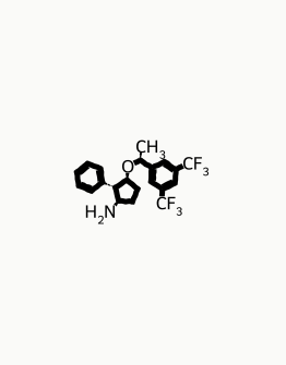 C[C@@H](O[C@H]1CC[C@@H](N)[C@@H]1c1ccccc1)c1cc(C(F)(F)F)cc(C(F)(F)F)c1